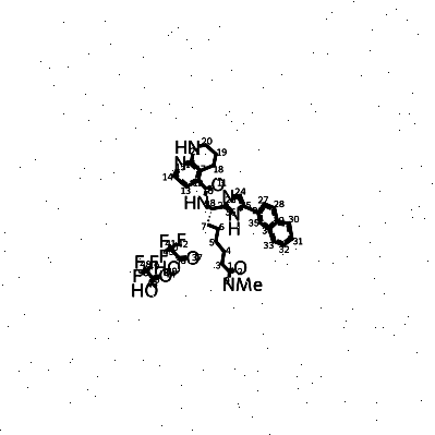 CNC(=O)CCCCC[C@H](NC(=O)c1ccnc2c1CCCN2)c1ncc(-c2ccc3ccccc3c2)[nH]1.O=C(O)C(F)(F)F.O=C(O)C(F)(F)F